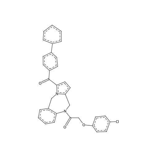 O=C(c1ccc(-c2ccccc2)cc1)c1ccc2n1Cc1ccccc1N(C(=O)COc1ccc(Cl)cc1)C2